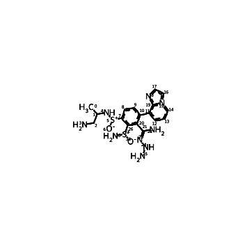 CC(CN)N[S+]([O-])c1ccc(-c2cccn3ccnc23)c(/C(N)=N/NN)c1[S+](N)[O-]